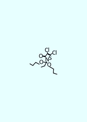 CCCCOC(CC)(OCCCC)n1sc(Cl)c(Cl)c1=O